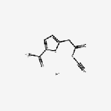 N#CSC(=O)Cc1ccc(C(N)=O)s1.[H+]